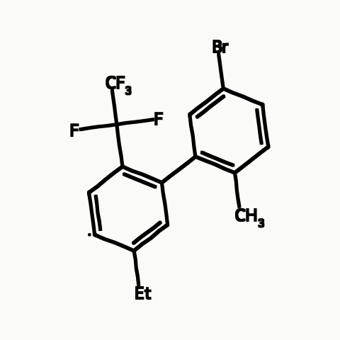 CCc1[c]cc(C(F)(F)C(F)(F)F)c(-c2cc(Br)ccc2C)c1